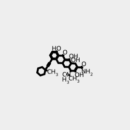 CN(C)C1C(O)=C(C(N)=O)CC2(O)C(O)=C3C(=O)c4c(O)ccc(C#CC5(C)CCCCC5)c4CC3CC12